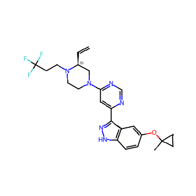 C=C[C@H]1CN(c2cc(-c3n[nH]c4ccc(OC5(C)CC5)cc34)ncn2)CCN1CCC(F)(F)F